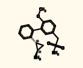 COc1ccc(CS(N)(=O)=O)cc1-c1ccccc1[C@@H]1C[C@H]1N